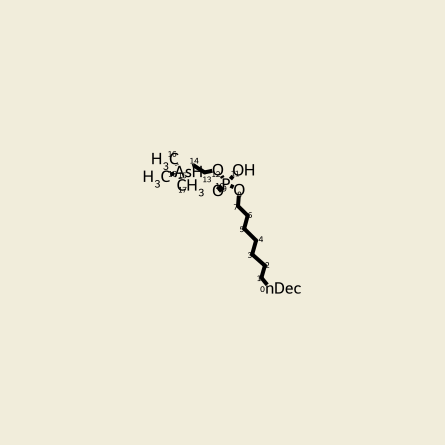 CCCCCCCCCCCCCCCCCOP(=O)(O)OCC[AsH](C)(C)C